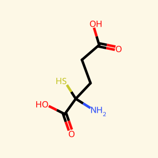 NC(S)(CCC(=O)O)C(=O)O